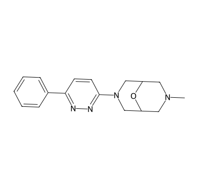 CN1CC2CN(c3ccc(-c4ccccc4)nn3)CC(C1)O2